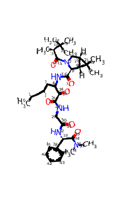 CCCCC(NC(=O)[C@@H]1[C@@H]2[C@H](CN1C(=O)[C@@H](C)C(C)(C)C)C2(C)C)C(=O)C(=O)NCC(=O)N[C@H](C(=O)N(C)C)c1ccccc1